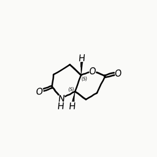 O=C1CC[C@@H]2OC(=O)CC[C@@H]2N1